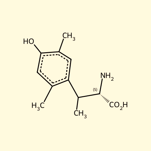 Cc1cc(C(C)[C@H](N)C(=O)O)c(C)cc1O